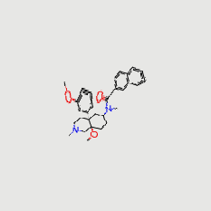 COc1cccc([C@@]23CCN(C)C[C@@]2(OC)CC[C@H](N(C)C(=O)c2ccc4ccccc4c2)C3)c1